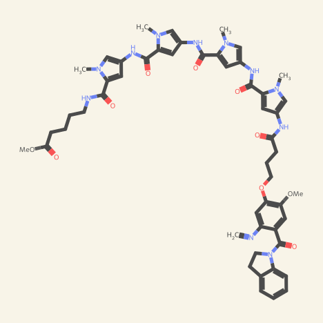 C=Nc1cc(OCCCC(=O)Nc2cc(C(=O)Nc3cc(C(=O)Nc4cc(C(=O)Nc5cc(C(=O)NCCCCC(=O)OC)n(C)c5)n(C)c4)n(C)c3)n(C)c2)c(OC)cc1C(=O)N1CCc2ccccc21